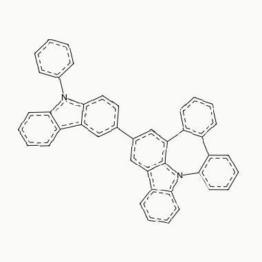 c1ccc(-n2c3ccccc3c3cc(-c4cc5c6c(c4)c4ccccc4n6-c4ccccc4-c4ccccc4-5)ccc32)cc1